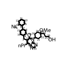 CCCc1c(Cc2ccc(-c3ccccc3C#N)cc2)c(=O)n(C2CCC(CCCO)(OC)CC2)c2ncnn12